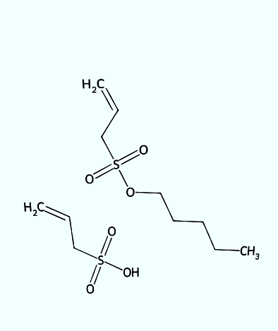 C=CCS(=O)(=O)O.C=CCS(=O)(=O)OCCCCC